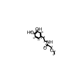 CCOCC(=O)NCCc1ccc(O)c(O)c1